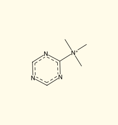 C[N+](C)(C)c1ncncn1